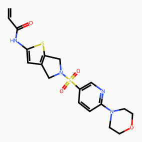 C=CC(=O)Nc1cc2c(s1)CN(S(=O)(=O)c1ccc(N3CCOCC3)nc1)C2